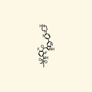 CCN(C)S(=O)(=O)Nc1ccc(F)c(C(=O)c2c[nH]c3ncc(-c4ccc(N5CCNCC5)nc4)cc23)c1F